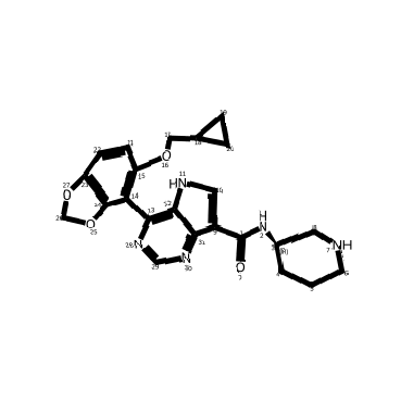 O=C(N[C@@H]1CCCNC1)c1c[nH]c2c(-c3c(OCC4CC4)ccc4c3OCO4)ncnc12